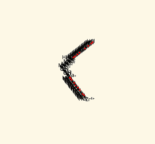 Cl.Cl.Cl.Cl.Cl.Cl.Cl.Cl.Cl.Cl.Cl.Cl.Cl.Cl.Cl.Cl.Cl.Cl.Cl.Cl.Cl.Cl.Cl.Cl.Cl.Cl.Cl.Cl.Cl.Cl.Cl.Cl.Cl.Cl.Cl.Cl.Cl.Cl.Cl.Cl.Cl.Cl.Cl.Cl.Cl.Cl.Cl.Cl.Cl.Cl.Cl.Cl.Cl.Cl.Cl.Cl.NCC(=O)[O-].NCC(=O)[O-].NCC(=O)[O-].NCC(=O)[O-].NCC(=O)[O-].NCC(=O)[O-].NCC(=O)[O-].[Al+3].[Zr+4]